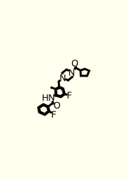 Cc1c(CN2CCN(C(=O)C3CCCC3)CC2)cc(F)cc1NC(=O)c1ccccc1F